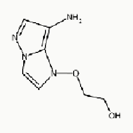 Nc1cnn2ccn(OCCO)c12